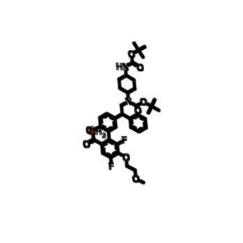 COCCOc1c(F)cc(C(N)=O)c(-c2cc(C(CN(C(=O)OC(C)(C)C)C3CCC(NC(=O)OC(C)(C)C)CC3)c3ccccc3)ccc2Cl)c1F